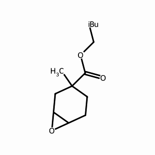 CCC(C)COC(=O)C1(C)CCC2OC2C1